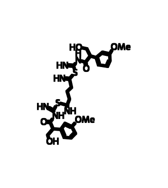 COc1cccc(C(CO)C(=O)NC(=N)SC(=N)CCCC(=N)SC(=N)NC(=O)C(CO)c2cccc(OC)c2)c1